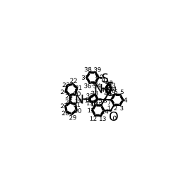 O=C1c2ccccc2C2(c3ccccc31)c1ccc(-n3c4ccccc4c4ccccc43)cc1N1c3ccccc3Sc3cccc2c31